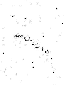 CCC/C=C/c1ccc(OCc2ccc(CCCCCC)cc2)cc1